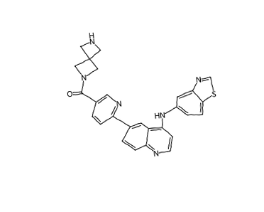 O=C(c1ccc(-c2ccc3nccc(Nc4ccc5scnc5c4)c3c2)nc1)N1CC2(CNC2)C1